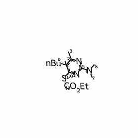 CCCCc1c(C)nc(N(C)C)nc1SC(=O)OCC